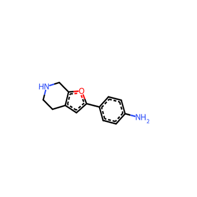 Nc1ccc(-c2cc3c(o2)CNCC3)cc1